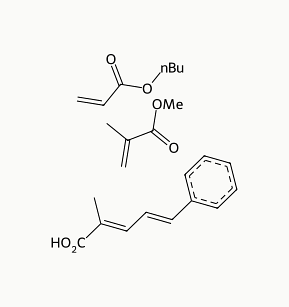 C=C(C)C(=O)OC.C=CC(=O)OCCCC.CC(=CC=Cc1ccccc1)C(=O)O